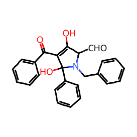 O=CC1C(O)=C(C(=O)c2ccccc2)C(O)(c2ccccc2)N1Cc1ccccc1